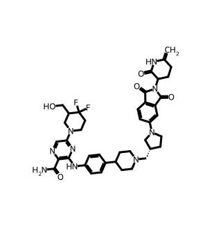 C=C1CCC(N2C(=O)c3ccc(N4CC[C@H](CN5CCC(c6ccc(Nc7nc(N8CCC(F)(F)C(CO)C8)cnc7C(N)=O)cc6)CC5)C4)cc3C2=O)C(=O)N1